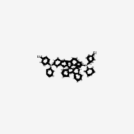 CCc1ccc(N(c2ccccc2)c2ccc3cc4c(cc3c2)C2(c3ccccc3-c3c2ccc2ccccc32)c2c-4ccc3cc(N(c4ccccc4)c4ccc(CC)cc4)ccc23)cc1